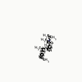 Cc1cc(Nc2ncnc3cnc(N4C[C@H](C)/C(=C\CN(C)C)C4=O)cc23)ccc1Oc1ccc2c(c1)nnn2C